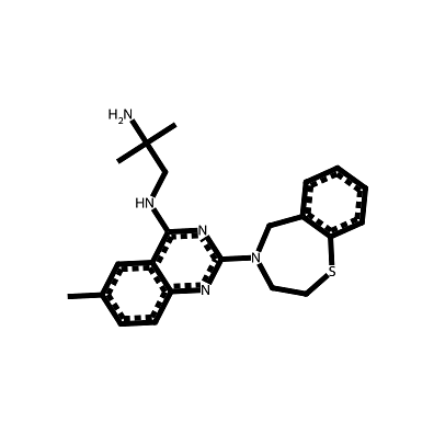 Cc1ccc2nc(N3CCSc4ccccc4C3)nc(NCC(C)(C)N)c2c1